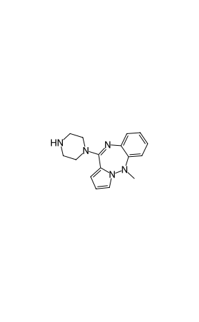 CN1c2ccccc2N=C(N2CCNCC2)c2cccn21